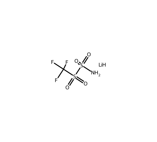 NS(=O)(=O)S(=O)(=O)C(F)(F)F.[LiH]